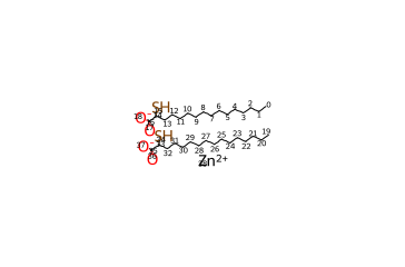 CCCCCCCCCCCCCCC(S)C(=O)[O-].CCCCCCCCCCCCCCC(S)C(=O)[O-].[Zn+2]